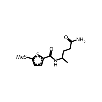 CSc1ccc(C(=O)NC(C)CCC(N)=O)s1